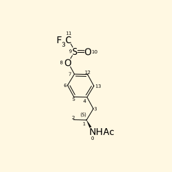 CC(=O)N[C@@H](C)Cc1ccc(OS(=O)C(F)(F)F)cc1